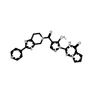 Cc1c(C(=O)N2CCc3nc(-c4ccncc4)sc3C2)cnn1-c1nn2cccc2c(=O)[nH]1